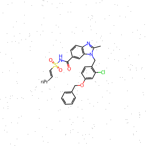 CCCC=CS(=O)(=O)NC(=O)c1ccc2nc(C)n(Cc3ccc(OCc4ccccc4)cc3Cl)c2c1